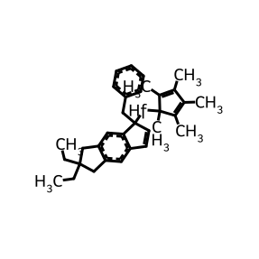 CCC1(CC)Cc2cc3c(cc2C1)[C](Cc1ccccc1)([Hf][C]1(C)C(C)=C(C)C(C)=C1C)C=C3